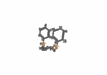 [S-]c1ccccc1.[S-]c1ccccc1.[SnH2+2]